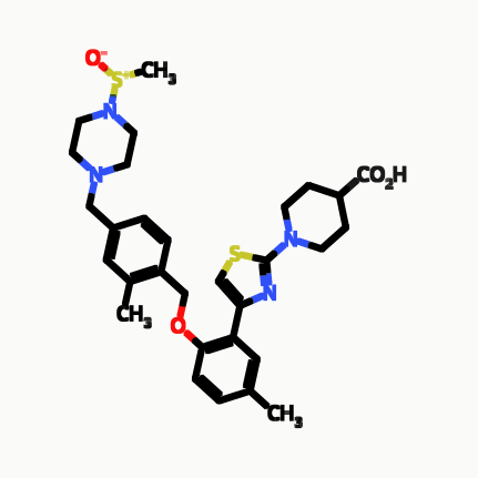 Cc1ccc(OCc2ccc(CN3CCN([S+](C)[O-])CC3)cc2C)c(-c2csc(N3CCC(C(=O)O)CC3)n2)c1